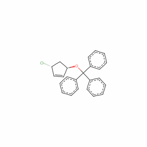 Cl[C@H]1C=C[C@H](OC(c2ccccc2)(c2ccccc2)c2ccccc2)C1